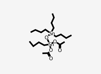 CCC[CH2][Sn]([CH2]CCC)([CH2]CCC)[O][Sn]([CH2]CCC)([O]C(C)=O)[O]C(C)=O